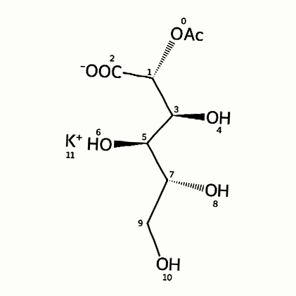 CC(=O)O[C@@H](C(=O)[O-])[C@@H](O)[C@H](O)[C@H](O)CO.[K+]